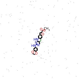 COC(=O)c1cc2cc(Nc3nc(Nc4ccc5c(c4)OCCO5)ncc3F)ccc2o1